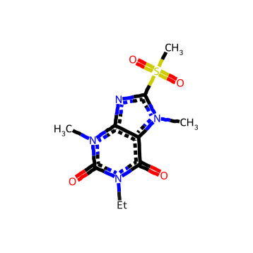 CCn1c(=O)c2c(nc(S(C)(=O)=O)n2C)n(C)c1=O